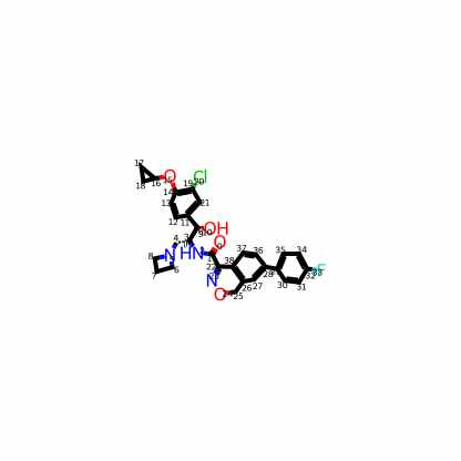 O=C(N[C@H](CN1CCC1)[C@H](O)c1ccc(OC2CC2)c(Cl)c1)C1=NOCc2cc(-c3ccc(F)cc3)ccc21